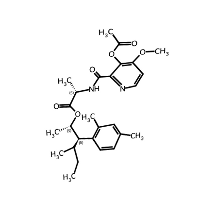 CCC(C)[C@H](c1ccc(C)cc1C)[C@H](C)OC(=O)[C@H](C)NC(=O)c1nccc(OC)c1OC(C)=O